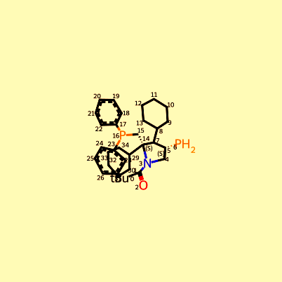 CC(C)(C)C(=O)N1C[C@@H](P)C(C2CCCCC2)[C@]1(CP(c1ccccc1)c1ccccc1)C1CCCCC1